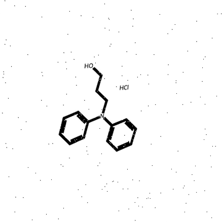 Cl.OCCCN(c1ccccc1)c1ccccc1